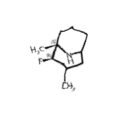 CC1CC2CCC[C@](C)(N2)[C@@H]1F